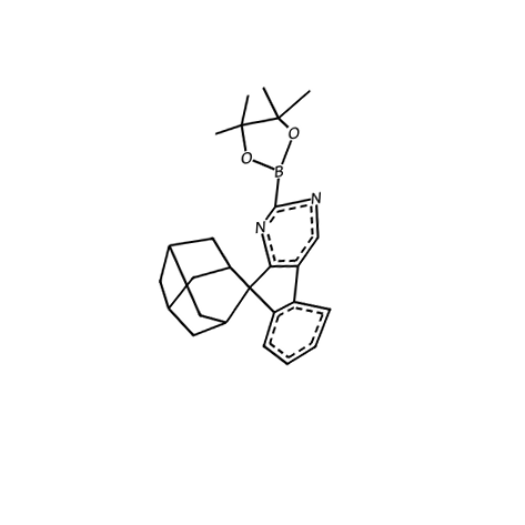 CC1(C)OB(c2ncc3c(n2)C2(c4ccccc4-3)C3CC4CC(C3)CC2C4)OC1(C)C